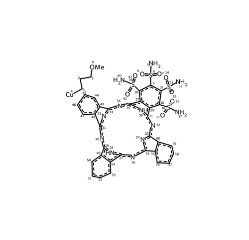 COCC[CH2][Cu].NS(=O)(=O)c1c(S(N)(=O)=O)c(S(N)(=O)=O)c2c3nc4nc(nc5[nH]c(nc6nc(nc([nH]3)c2c1S(N)(=O)=O)-c1ccccc1-6)c1ccccc51)-c1ccccc1-4